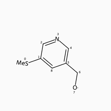 CSc1cncc(C[O])c1